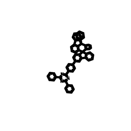 c1ccc(-c2nc(-c3ccccc3)nc(-c3ccc(-c4ccc5c(c4)-c4ccccc4C54c5ccccc5C5(c6ccccc6)c6ccccc6-c6cccc4c65)cc3)n2)cc1